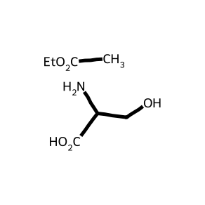 CCOC(C)=O.NC(CO)C(=O)O